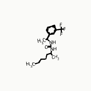 CCCCCC(C)NC(=O)NC(C)c1cccc(C(F)(F)F)c1